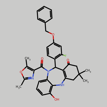 Cc1nc(C(=O)N2c3cccc(O)c3NC3=C(C(=O)CC(C)(C)C3)C2c2ccc(OCc3ccccc3)cc2F)c(C)o1